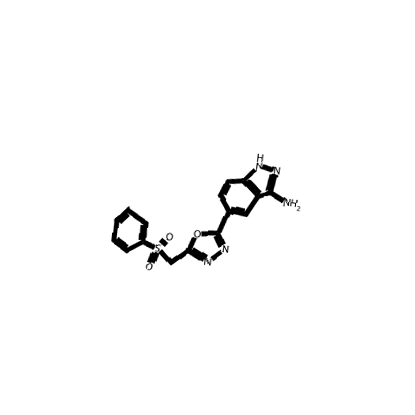 Nc1n[nH]c2ccc(-c3nnc(CS(=O)(=O)c4ccccc4)o3)cc12